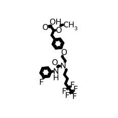 CCOC(Cc1ccc(OCCN(CCCCC(F)(F)C(F)(F)F)C(=O)Nc2cccc(F)c2)cc1)C(=O)O